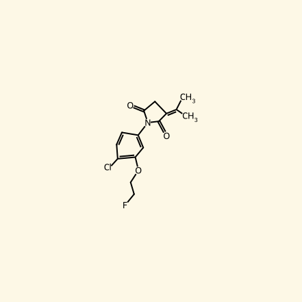 CC(C)=C1CC(=O)N(c2ccc(Cl)c(OCCF)c2)C1=O